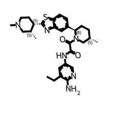 CCc1cc(NC(=O)C(=O)N2C[C@@H](C)CC[C@@H]2c2ccc3sc([C@H]4CCN(C)C[C@H]4C)nc3c2)cnc1N